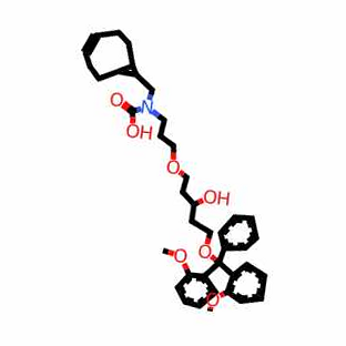 COc1ccccc1C(OCCC(O)CCOCCCN(CC1C2CCC#CCCC21)C(=O)O)(c1ccccc1)c1ccccc1OC